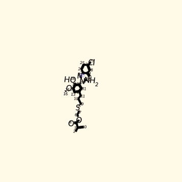 C=C(C)C(=O)OCCSCCCc1cc(OC)c(O)c(N(N)/N=C2/C=CC(Cl)=CC2=C)c1